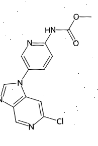 COC(=O)Nc1ccc(-n2cnc3cnc(Cl)cc32)cn1